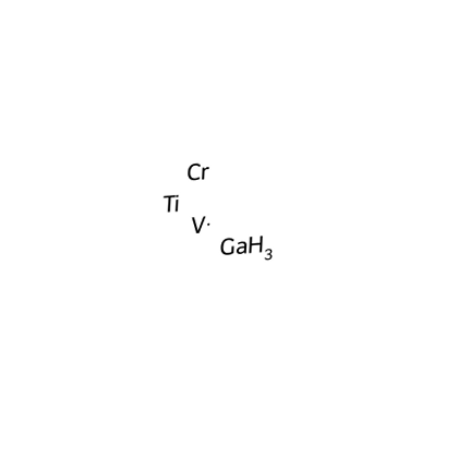 [Cr].[GaH3].[Ti].[V]